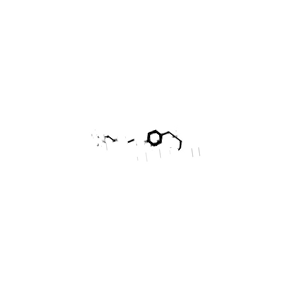 CC(C)CC(C)(C)Cc1ccc(OCCOCCN(C)C)cc1.Cl